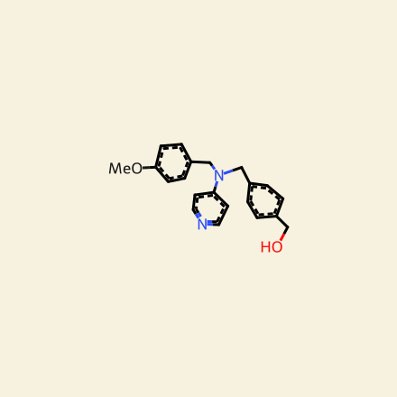 COc1ccc(CN(Cc2ccc(CO)cc2)c2ccncc2)cc1